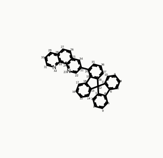 c1ccc2c(c1)-c1ccccc1C21c2ccccc2-c2c(-c3cnc4c(ccc5cccnc54)c3)cccc21